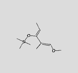 CC=C(O[Si](C)(C)C)C(C)=COC